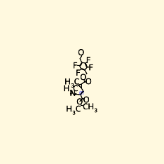 CC(C)OC(=O)/C(C#N)=C/C1C(C(=O)OCc2c(F)c(F)c(CC=O)c(F)c2F)C1(C)C